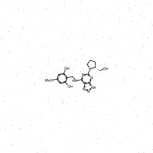 COc1cc(O)c(CNc2nc(N3CCC[C@@H]3CO)nc3[nH]nnc23)c(O)c1